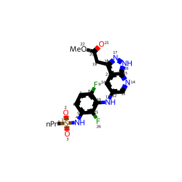 CCCS(=O)(=O)Nc1ccc(F)c(Nc2cnc3[nH]nc(CC(=O)OC)c3c2)c1F